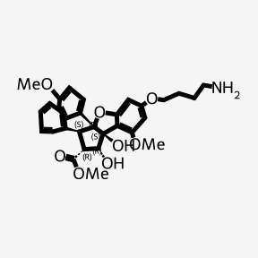 COC(=O)[C@H]1[C@@H](O)[C@@]2(O)c3c(OC)cc(OCCCCN)cc3O[C@@]2(c2ccc(OC)cc2)[C@@H]1c1ccccc1